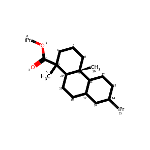 CC(C)OC(=O)C1(C)CCC[C@]2(C)C3CCC(C(C)C)CC3CCC12